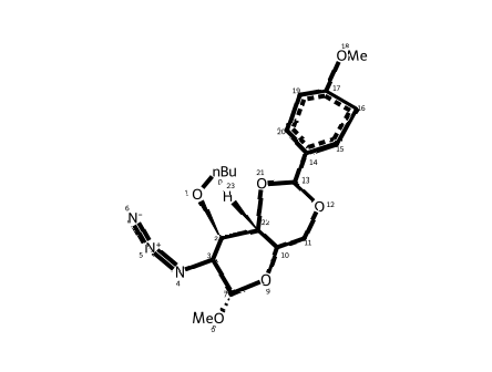 CCCCO[C@@H]1C(N=[N+]=[N-])[C@@H](OC)OC2COC(c3ccc(OC)cc3)O[C@H]21